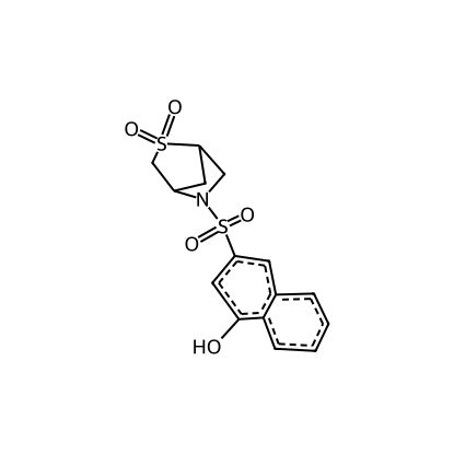 O=S1(=O)CC2CC1CN2S(=O)(=O)c1cc(O)c2ccccc2c1